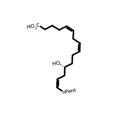 CCCCC/C=C\C[C@H](O)CC/C=C\C/C=C\CCCC(=O)O